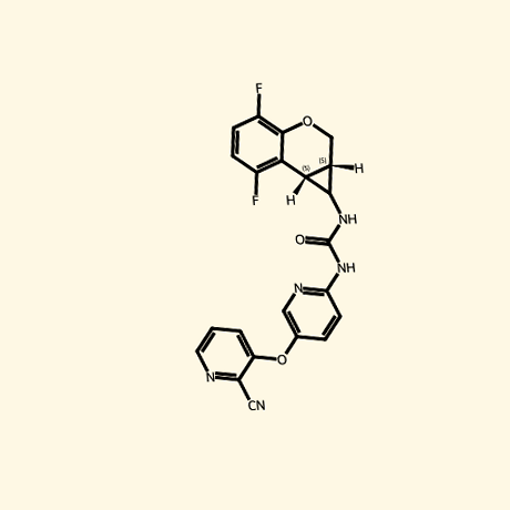 N#Cc1ncccc1Oc1ccc(NC(=O)NC2[C@H]3COc4c(F)ccc(F)c4[C@@H]23)nc1